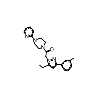 CCc1cc(-c2cccc(C)c2)nn1CC(=O)N1CCN(c2ccccn2)CC1